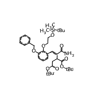 CC(C)(C)OC(=O)CC(C(=O)OC(C)(C)C)/C(=C\c1cccc(OCc2ccccc2)c1OCCO[Si](C)(C)C(C)(C)C)C(N)=O